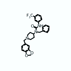 O=C(Nc1cccc(C(F)(F)F)c1)N(Cc1ccccc1)C1CCN(Cc2ccc3c(c2)OCO3)CC1